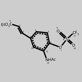 CCOC(=O)/C=C/c1ccc(OS(=O)(=O)C(F)(F)F)c(NC(C)=O)c1